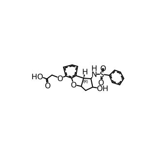 O=C(O)COc1cccc2c1OC1CC(O)C(NS(=O)(=O)c3ccccc3)[C@@H]21